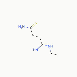 CCNC(=N)CCC(N)=S